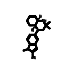 Cn1c(C#N)cc2cc(N3CC(C)(C)N[C@@H]4C=CCC[C@@H]43)ccc21